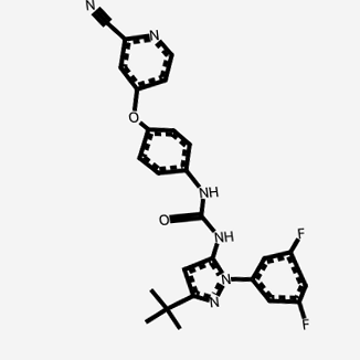 CC(C)(C)c1cc(NC(=O)Nc2ccc(Oc3ccnc(C#N)c3)cc2)n(-c2cc(F)cc(F)c2)n1